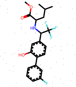 COC(=O)C(CC(C)C)NC(c1ccc(-c2cccc(F)c2)c(O)c1)C(F)(F)F